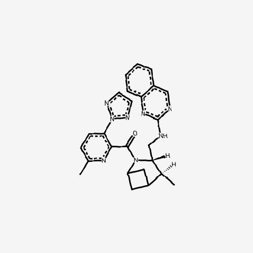 Cc1ccc(-n2nccn2)c(C(=O)N2C3CC(C3)[C@H](C)[C@H]2CNc2ncc3ccccc3n2)n1